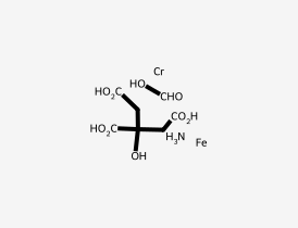 N.O=C(O)CC(O)(CC(=O)O)C(=O)O.O=CO.[Cr].[Fe]